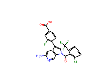 Nc1cc2c(-c3ccc(C(=O)O)cc3F)cn(C(=O)c3c(Cl)cccc3C(F)(F)F)c2cn1